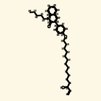 C=CC(=O)CCCCCCCCCCCCOc1ccc(-c2cc3ccccc3n(CCCCC)c2=O)cc1